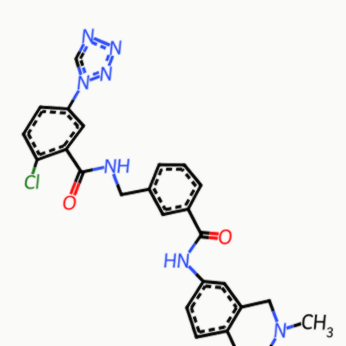 CN1CCc2ccc(NC(=O)c3cccc(CNC(=O)c4cc(-n5cnnn5)ccc4Cl)c3)cc2C1